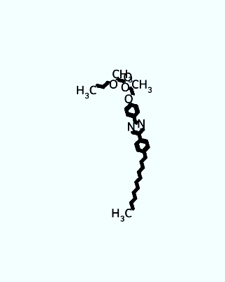 CCCCCCCCCCCCc1ccc(-c2cnc(-c3ccc(OCC(C)OC(=O)C(C)OCCCC)cc3)nc2)cc1